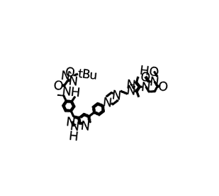 Cc1cc(-c2n[nH]c3ncc(-c4ccc(N5CCN(CCn6nc(C)c(N7CCC(=O)N(CO)C7=O)c6C)CC5)cc4)cc23)ccc1[C@@H](C)NC(=O)c1noc(C(C)(C)C)n1